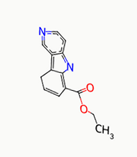 CCOC(=O)C1=C2N=c3ccncc3=C2CC=C1